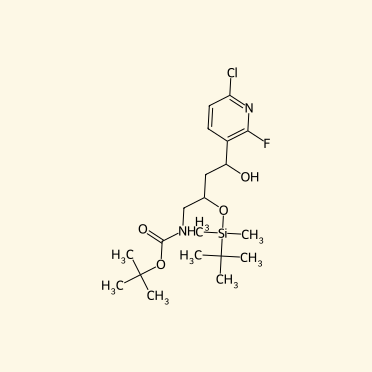 CC(C)(C)OC(=O)NCC(CC(O)c1ccc(Cl)nc1F)O[Si](C)(C)C(C)(C)C